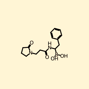 O=C(CCN1CCCC1=O)NC(Cc1ccccc1)B(O)O